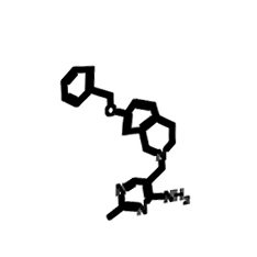 Cc1ncc(CN2CCc3ccc(OCc4ccccc4)cc3C2)c(N)n1